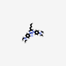 CCCCC1=CN(c2ccc(N(CC)CC)cc2)NN(c2ccc(N(CC)CC)cc2)C1